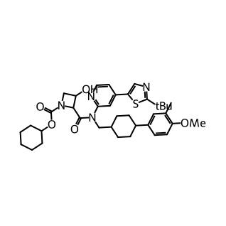 COc1ccc(C2CCC(CN(C(=O)C3C(O)CN3C(=O)OC3CCCCC3)c3cc(-c4cnc(C(C)(C)C)s4)ccn3)CC2)cc1C